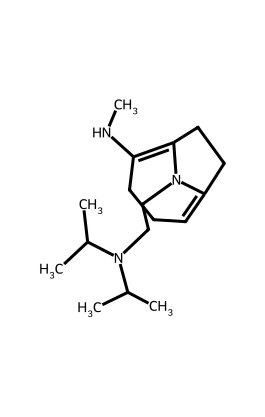 CNC1=C2CCC(=CCC1)N2CCN(C(C)C)C(C)C